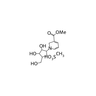 COC(=O)C1=CC=CN(C2CC(CO)C(O)C2O)C1.CS(=O)(=O)O